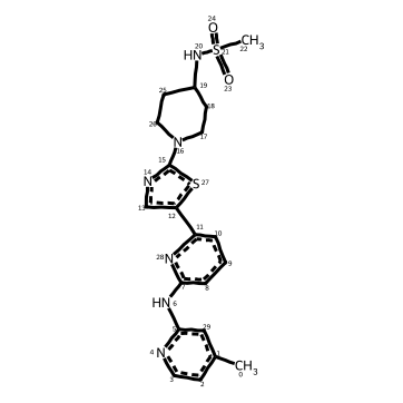 Cc1ccnc(Nc2cccc(-c3cnc(N4CCC(NS(C)(=O)=O)CC4)s3)n2)c1